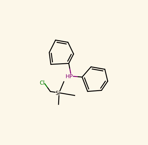 C[Si](C)(C)CCl.c1ccc(Pc2ccccc2)cc1